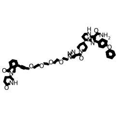 NC(=O)c1c(-c2ccc(Oc3ccccc3)cc2)nn2c1NCC[C@H]2C1CCN(C(=O)c2cn(CCOCCOCCOCCOCC#Cc3cccc4c3CN(C3CCC(=O)NC3)C4=O)nn2)CC1